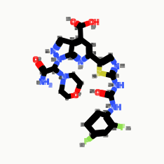 NC(=O)C(N1CCOCC1)n1ncc2c(C(=O)O)cc(-c3cnc(NC(=O)Nc4ccc(F)cc4F)s3)nc21